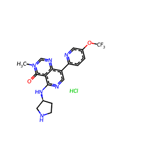 Cl.Cn1cnc2c(-c3ccc(OC(F)(F)F)cn3)cnc(N[C@H]3CCNC3)c2c1=O